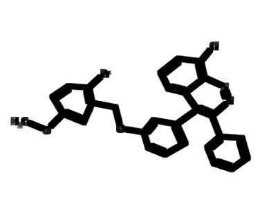 COc1ccc(Br)c(COc2cccc(-c3c(-c4ccccc4)nnc4c(Cl)cccc34)c2)c1